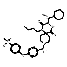 CCCCN1C(=O)[C@@H]([C@H](O)C2CCCCC2)NC(=O)C12CCN(Cc1ccc(Oc3ccc(S(C)(=O)=O)cc3)cc1)CC2.Cl